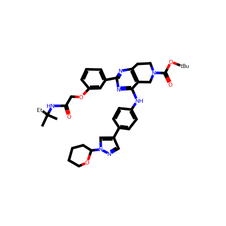 CCC(C)(C)NC(=O)COc1cccc(-c2nc3c(c(Nc4ccc(-c5cnn(C6CCCCO6)c5)cc4)n2)CN(C(=O)OC(C)(C)C)CC3)c1